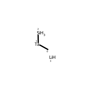 [CH3][Ta][SiH3].[LiH]